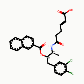 C[C@H](NC(=O)CCC=CC(=O)O)[C@@H](Cc1ccc(Cl)c(Cl)c1)OC(=O)c1ccc2ccccc2c1